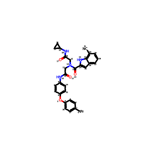 CC(C)c1ccc(Oc2ccc(NC(=O)CN(CC(=O)NC3CC3)C(=O)c3cc4cccc(C#N)c4[nH]3)cc2)cc1